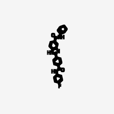 O=C(Nc1ccc(F)cc1)c1ccc(-c2nc3cc(C(=O)NC4CC5CCC4C5)ccc3[nH]2)cc1